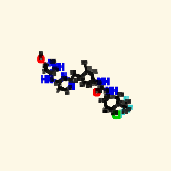 COc1cc(Nc2ccnc(Cc3ccc(NC(=O)Nc4ccc(Cl)c(C(F)(F)F)c4)cc3C)n2)[nH]n1